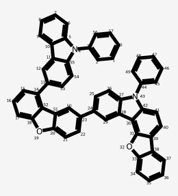 c1ccc(-n2c3ccccc3c3cc(-c4cccc5oc6ccc(-c7ccc8c(c7)c7c9oc%10ccccc%10c9ccc7n8-c7ccccc7)cc6c45)ccc32)cc1